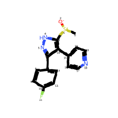 C[S+]([O-])c1[nH]nc(-c2ccc(F)cc2)c1-c1ccncc1